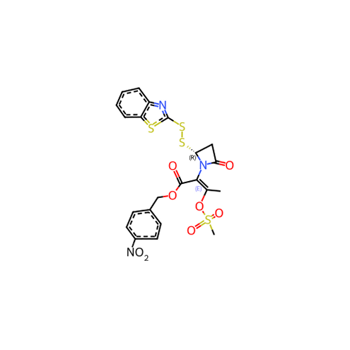 C/C(OS(C)(=O)=O)=C(/C(=O)OCc1ccc([N+](=O)[O-])cc1)N1C(=O)C[C@H]1SSc1nc2ccccc2s1